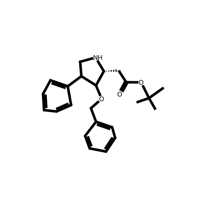 CC(C)(C)OC(=O)[CH][C@H]1NCC(c2ccccc2)C1OCc1ccccc1